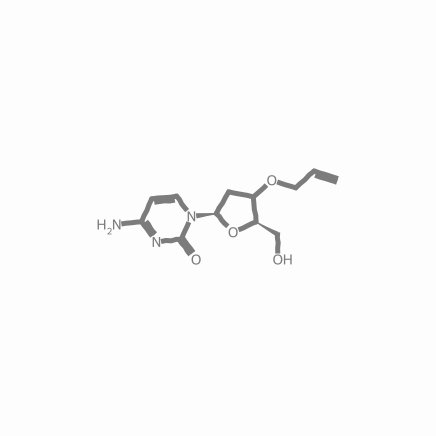 C=CCOC1C[C@H](n2ccc(N)nc2=O)O[C@@H]1CO